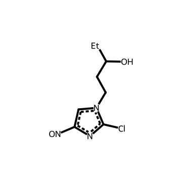 CCC(O)CCn1cc(N=O)nc1Cl